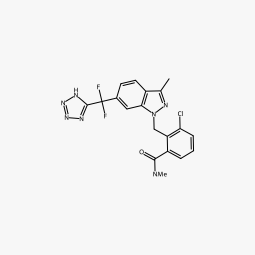 CNC(=O)c1cccc(Cl)c1Cn1nc(C)c2ccc(C(F)(F)c3nnn[nH]3)cc21